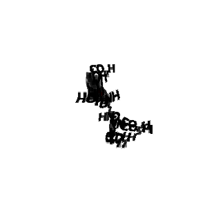 C[C@H](CCC(=O)O)[C@H]1CC[C@H]2[C@@H]3[C@H](O)C[C@@H]4C[C@@H](NC(=O)CCCCCNC(=O)CN(CCN(CC(=O)O)CC(=O)O)CCN(CC(=O)O)CC(=O)O)CC[C@]4(C)[C@H]3C[C@H](O)[C@]12C